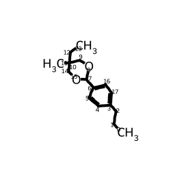 CCCc1ccc(C2OCC(C)(CC)CO2)cc1